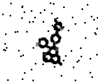 Cc1cc(C)c2c(N(C(=O)N3CCC(c4cc(C)no4)CC3)[C@@H]3CCCNC3)nccc2c1